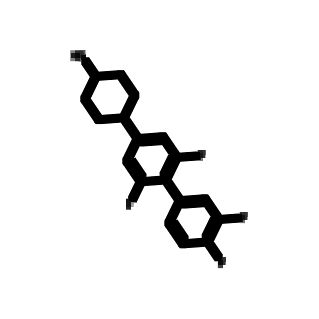 Fc1ccc(-c2c(F)cc(C3CCC(S)CC3)cc2F)cc1F